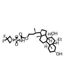 CC[C@H]1[C@@H](O)[C@@H]2[C@H](CC[C@]3(C)[C@@H]([C@H](C)CCOC(=O)NS(=O)(=O)N4CC(F)(F)C4)CC[C@@H]23)[C@@]2(C)CC[C@@H](O)C[C@@H]12